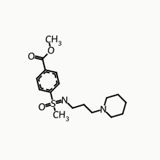 COC(=O)c1ccc(S(C)(=O)=NCCCN2CCCCC2)cc1